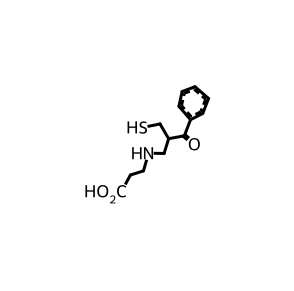 O=C(O)CCNCC(CS)C(=O)c1ccccc1